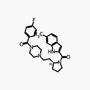 Cc1ccc2cc(C(=O)N3CCC[C@H]3CCN3CCN(C(=O)c4ccc(F)cc4)CC3)[nH]c2c1